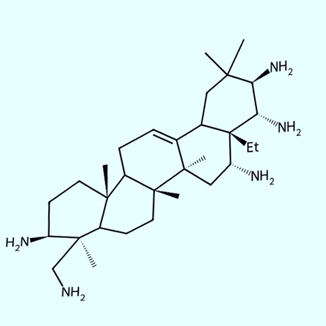 CC[C@@]12C(CC(C)(C)[C@@H](N)[C@@H]1N)C1=CCC3[C@@]4(C)CC[C@H](N)[C@](C)(CN)C4CC[C@@]3(C)[C@]1(C)C[C@H]2N